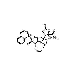 NC(=O)C1(O)OC(=O)CC1C1(C(=O)O)CCC2CC=CCC(C(=O)Nc3nccc4ccccc34)C(=O)N21